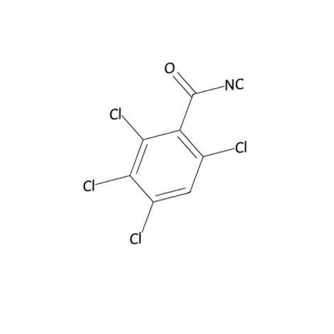 [C-]#[N+]C(=O)c1c(Cl)cc(Cl)c(Cl)c1Cl